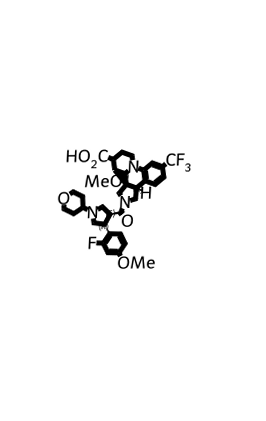 COc1ccc([C@@H]2CN(C3CCOCC3)C[C@H]2C(=O)N2C[C@@H]3c4ccc(C(F)(F)F)cc4N4CCC(C(=O)O)C5C3(C2)[C@]54OC)c(F)c1